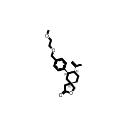 C=C(C)[C@@H]1CC[C@]2(COC(=O)C2)C[C@H]1c1ccc(COCCOC)cc1